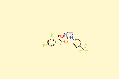 C[C@@H](Oc1ncnn1-c1ccc(C(F)(F)F)cc1)[C@@]1(c2ccc(F)cc2F)CO1